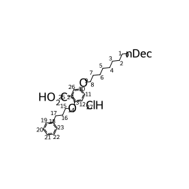 CCCCCCCCCCCCCCCCCCOc1ccc(OCCCc2ccccc2)c(C(=O)O)c1.Cl